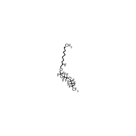 C=CCCCCCC[C@H](F)COCC(F)(F)OC(F)(F)C(F)(F)OC(F)(F)C(F)(F)C(F)(F)C(F)(F)F